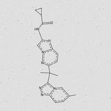 Cc1ccc2nnc(C(C)(C)c3ccc4nc(NC(=O)C5CC5)cn4n3)n2c1